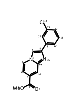 COC(=O)c1ccn2cc(-c3cccc(Cl)c3)nc2c1